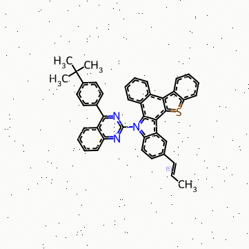 C/C=C/c1ccc2c(c1)c1c3sc4ccccc4c3c3ccccc3c1n2-c1nc(-c2ccc(C(C)(C)C)cc2)c2ccccc2n1